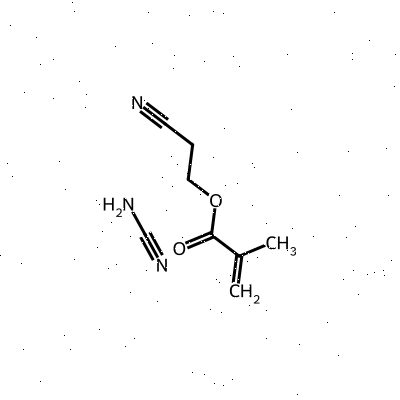 C=C(C)C(=O)OCCC#N.N#CN